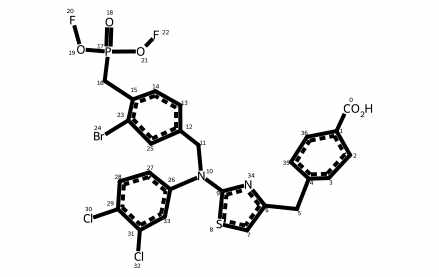 O=C(O)c1ccc(Cc2csc(N(Cc3ccc(CP(=O)(OF)OF)c(Br)c3)c3ccc(Cl)c(Cl)c3)n2)cc1